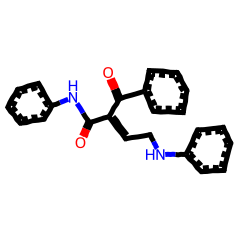 O=C(Nc1ccccc1)C(=CCNc1ccccc1)C(=O)c1ccccc1